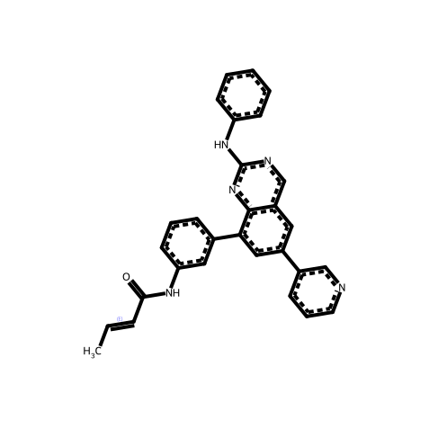 C/C=C/C(=O)Nc1cccc(-c2cc(-c3cccnc3)cc3cnc(Nc4ccccc4)nc23)c1